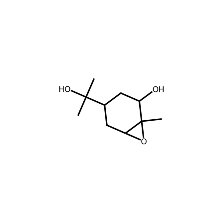 CC(C)(O)C1CC(O)C2(C)OC2C1